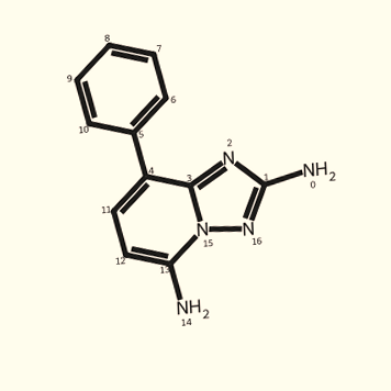 Nc1nc2c(-c3ccccc3)ccc(N)n2n1